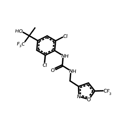 CC(O)(c1cc(Cl)c(NC(=O)NCc2cc(C(F)(F)F)on2)c(Cl)c1)C(F)(F)F